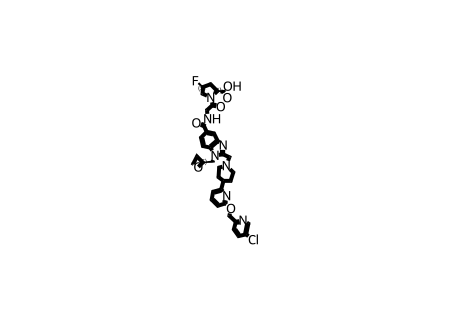 O=C(NCC(=O)N1C[C@@H](F)C[C@H]1C(=O)O)c1ccc2c(c1)nc(CN1CCC(c3cccc(OCc4ccc(Cl)cn4)n3)CC1)n2C[C@@H]1CCO1